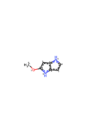 COc1cc2[nH]ccc2[nH]1